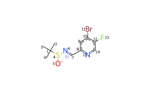 CC(C)(C)[S+]([O-])/N=C/c1cc(Br)c(F)cn1